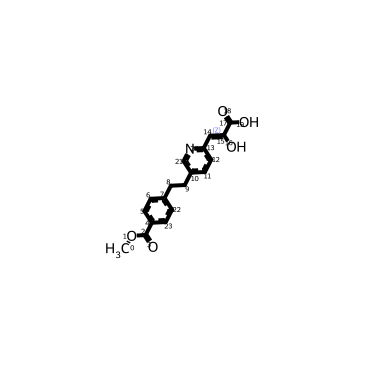 COC(=O)c1ccc(CCc2ccc(/C=C(\O)C(=O)O)nc2)cc1